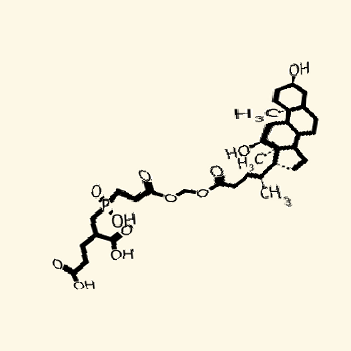 C[C@H](CCC(=O)OCOC(=O)CCP(=O)(O)CC(CCC(=O)O)C(=O)O)[C@H]1CCC2C3CCC4C[C@H](O)CC[C@]4(C)C3C[C@H](O)[C@@]21C